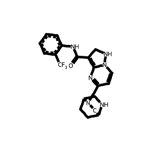 O=C(Nc1ccccc1C(F)(F)F)C1=C2N=C(N3CC4CCC3CN4)C=CN2NC1